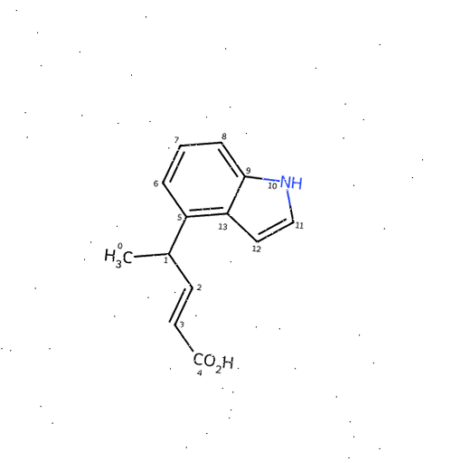 CC(C=CC(=O)O)c1cccc2[nH]ccc12